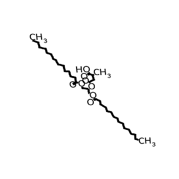 CCCCCCCCCCCCCCCC(=O)OCC(COC(=O)CCCCCCCCCCCCCCC)OC(=O)CC(C)C(=O)O